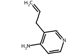 C=CCc1[c]nccc1N